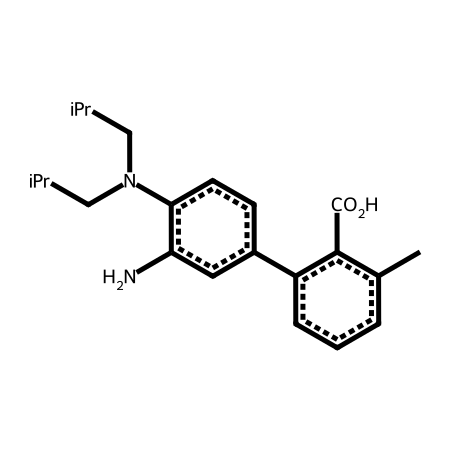 Cc1cccc(-c2ccc(N(CC(C)C)CC(C)C)c(N)c2)c1C(=O)O